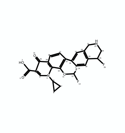 O=C(O)c1cn(C2CC2)c2c(OC(F)F)c(-c3ccc4c(c3)CNCC4F)ccc2c1=O